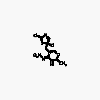 CC1NC(=N[N+](=O)[O-])N(CC2(Cl)C=NC(Cl)S2)CO1